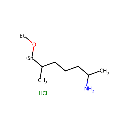 CC[O][Sn][CH](C)CCCC(C)N.Cl